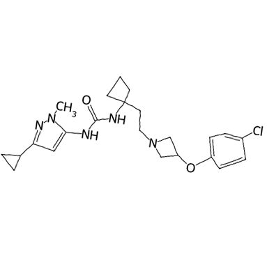 Cn1nc(C2CC2)cc1NC(=O)NC1(CCN2CC(Oc3ccc(Cl)cc3)C2)CCC1